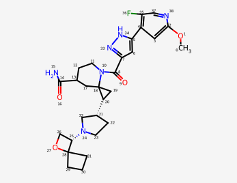 COc1cc(-c2cc(C(=O)N3CCC(C(N)=O)CC34CC4[C@@H]3CCN([C@H]4COC45CCC5)C3)n[nH]2)c(F)cn1